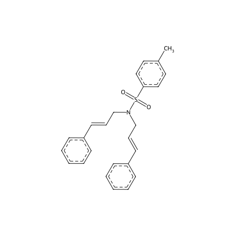 Cc1ccc(S(=O)(=O)N(CC=Cc2ccccc2)CC=Cc2ccccc2)cc1